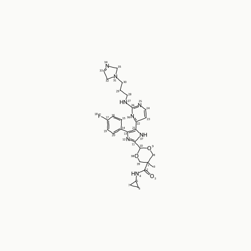 CC1(C(=O)NC2CC2)COC(c2nc(-c3ccc(F)cc3)c(-c3ccnc(NCCCN4CC=NC4)n3)[nH]2)OC1